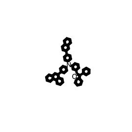 c1ccc(-c2c(-c3cccc(N(c4ccc(-c5ccc6ccccc6c5)cc4)c4ccc(-c5cc6ccccc6c6ccccc56)cc4)c3)oc3ccccc23)cc1